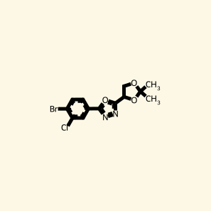 CC1(C)OCC(c2nnc(-c3ccc(Br)c(Cl)c3)o2)O1